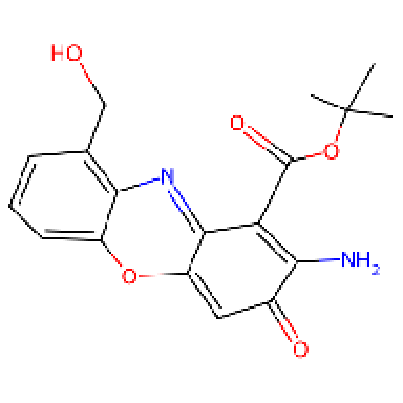 CC(C)(C)OC(=O)c1c2nc3c(CO)cccc3oc-2cc(=O)c1N